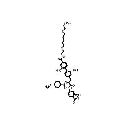 COCCOCCOCCOCCNC(=O)c1ccc(-c2ccc(C[C@H](NC(=O)[C@H]3CC[C@H](CN)CC3)C(=O)Nc3ccc4c(=O)[nH][nH]c4c3)cc2)c(C)c1.Cl